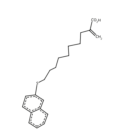 C=C(CCCCCCCCSc1ccc2ccccc2c1)C(=O)O